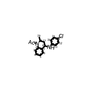 CC(=O)N1c2ccccc2C(Nc2ccc(Cl)cc2)CC1C